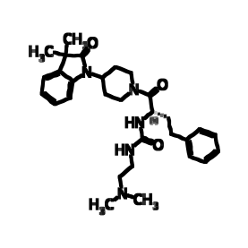 CN(C)CCNC(=O)N[C@@H](CCc1ccccc1)C(=O)N1CCC(N2C(=O)C(C)(C)c3ccccc32)CC1